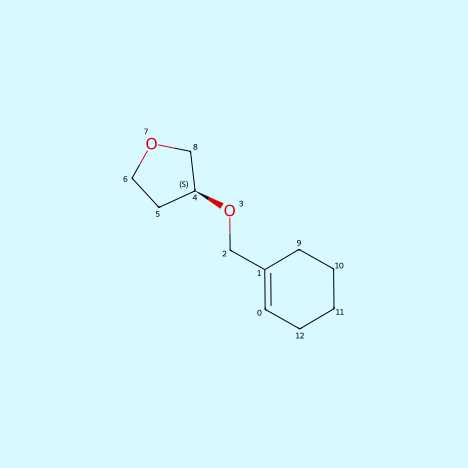 C1=C(CO[C@H]2CCOC2)CCCC1